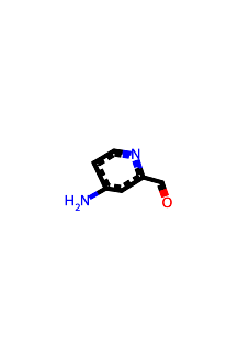 Nc1ccnc(C=O)c1